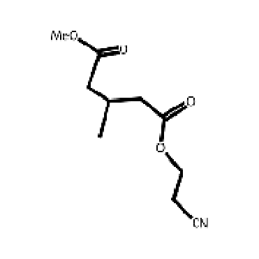 COC(=O)CC(C)CC(=O)OCCC#N